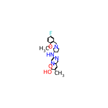 COc1ccc(F)cc1CN1CC[C@@H](Nc2cnc(C=C(C)C(=O)O)cn2)C1